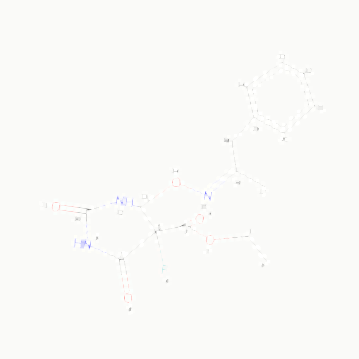 CCOC(=O)C1(F)C(=O)NC(=O)NC1ON=C(C)Cc1ccccc1